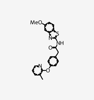 COc1ccc2sc(NC(=O)Cc3ccc(Oc4ncccc4C)cc3)nc2c1